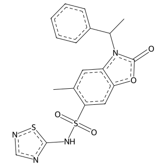 Cc1cc2c(cc1S(=O)(=O)Nc1ncns1)oc(=O)n2C(C)c1ccccc1